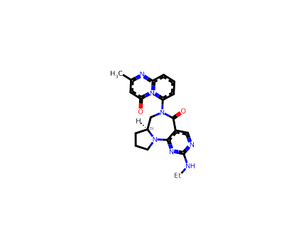 CCNc1ncc2c(n1)N1CCC[C@H]1CN(c1cccc3nc(C)cc(=O)n13)C2=O